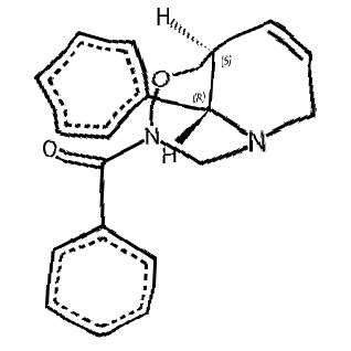 O=C(c1ccccc1)N1CN2CC=C[C@H](O1)[C@H]2c1ccccc1